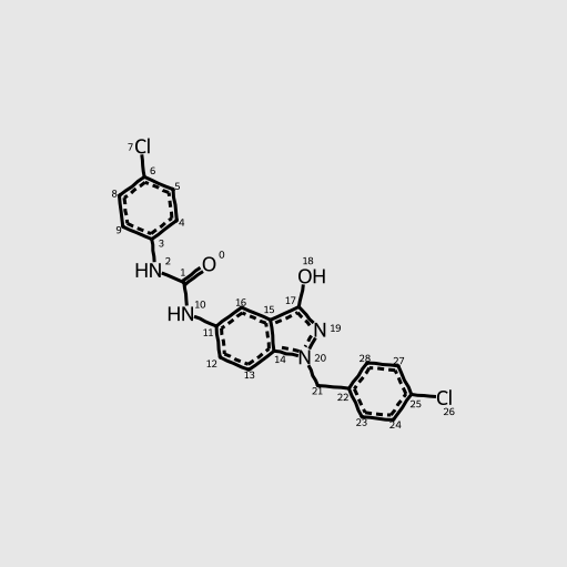 O=C(Nc1ccc(Cl)cc1)Nc1ccc2c(c1)c(O)nn2Cc1ccc(Cl)cc1